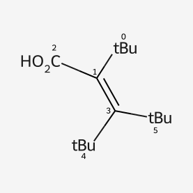 CC(C)(C)C(C(=O)O)=C(C(C)(C)C)C(C)(C)C